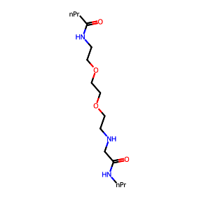 CCCNC(=O)CNCCOCCOCCNC(=O)CCC